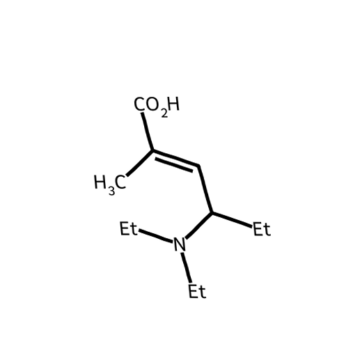 [CH2]CC(C=C(C)C(=O)O)N(CC)CC